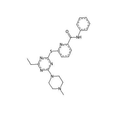 CCc1nc(Sc2cccc(C(=O)Nc3ccccc3)n2)nc(N2CCN(C)CC2)n1